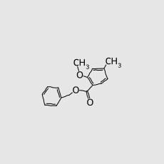 COc1cc(C)ccc1C(=O)OCc1ccccc1